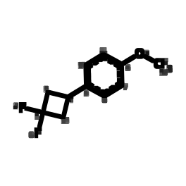 FC1(F)C[C](c2ccc(OC(F)(F)F)cc2)C1